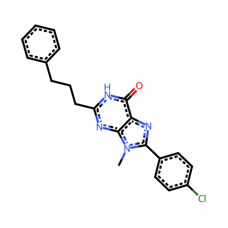 Cn1c(-c2ccc(Cl)cc2)nc2c(=O)[nH]c(CCCc3ccccc3)nc21